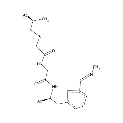 C/N=C/c1cccc(C[C@H](NC(=O)CNC(=O)CSC[C@H](C)C(C)=O)C(C)=O)c1